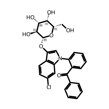 O=C(c1ccccc1)c1ccccc1-n1cc(O[C@H]2O[C@@H](CO)[C@@H](O)[C@@H](O)[C@@H]2O)c2ccc(Cl)cc21